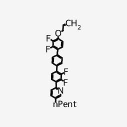 C=CCOc1ccc(-c2ccc(-c3ccc(-c4ccc(CCCCC)cn4)c(F)c3F)cc2)c(F)c1F